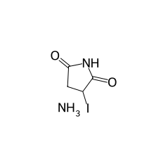 N.O=C1CC(I)C(=O)N1